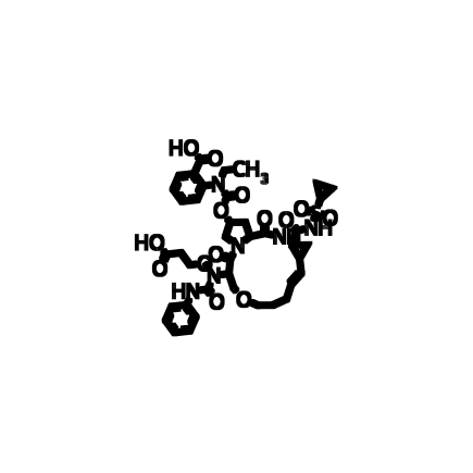 CCN(C(=O)OC1CC2C(=O)NC3(C(=O)NS(=O)(=O)C4CC4)CC3/C=C/CCCOCC(N(OCCC(=O)O)C(=O)Nc3ccccc3)C(=O)N2C1)c1ccccc1C(=O)O